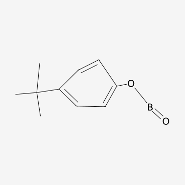 CC(C)(C)c1ccc(OB=O)cc1